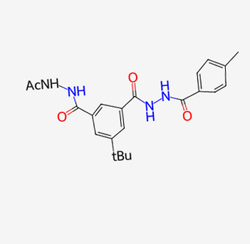 CC(=O)NNC(=O)c1cc(C(=O)NNC(=O)c2ccc(C)cc2)cc(C(C)(C)C)c1